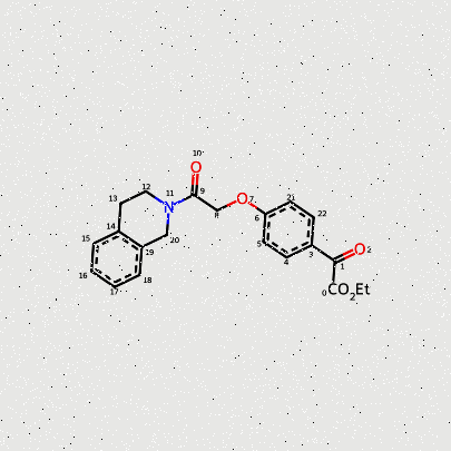 CCOC(=O)C(=O)c1ccc(OCC(=O)N2CCc3ccccc3C2)cc1